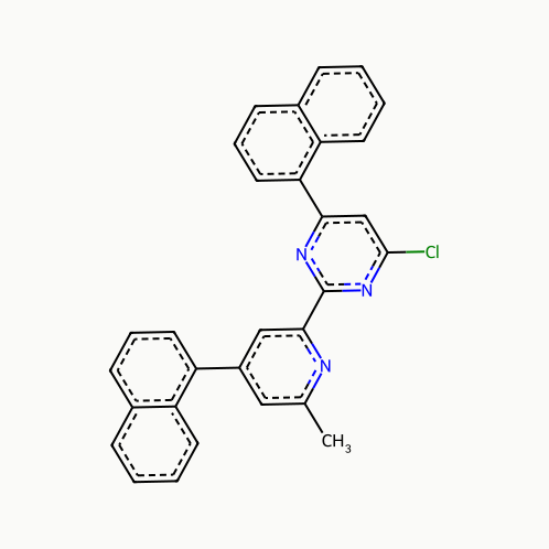 Cc1cc(-c2cccc3ccccc23)cc(-c2nc(Cl)cc(-c3cccc4ccccc34)n2)n1